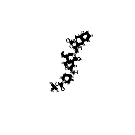 CCC1CN(CC2OC(=O)N3CC4=C(C=CCC4)C[C@@H]23)C(=O)c2cc(NC3CCN(C(=O)OC(C)(C)C)CC3)ncc21